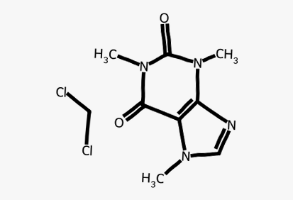 ClCCl.Cn1c(=O)c2c(ncn2C)n(C)c1=O